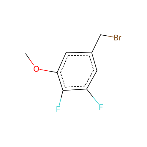 COc1cc(CBr)cc(F)c1F